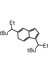 CCC(C1=CC2=CC=C(C(CC)C(C)(C)C)C2=CC1)C(C)(C)C